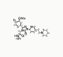 COc1cc(-c2nn(-c3ccc(CCN4CCCCC4)cn3)c(=O)n2CC(=O)NC(C)C)ccc1F